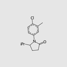 Cc1cc(N2C(=O)CCC2C(C)C)ccc1Cl